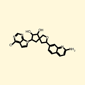 Nc1ccc2ccc(C3CC4(CO3)CC(n3ccc5c(Cl)ncnc53)C(O)C4O)cc2n1